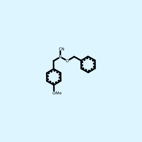 COc1ccc(CN(C#N)OCc2ccccc2)cc1